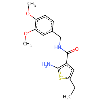 CCc1cc(C(=O)NCc2ccc(OC)c(OC)c2)c(N)s1